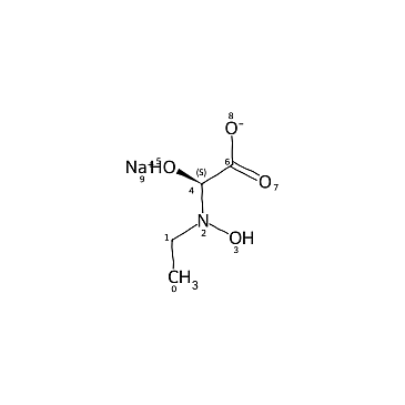 CCN(O)[C@@H](O)C(=O)[O-].[Na+]